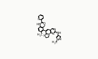 Cc1ccc(NC(=O)c2ccccn2)c(F)c1C1=Cc2cnc(Nc3cnn(C)c3)nc2N2CCN=C12